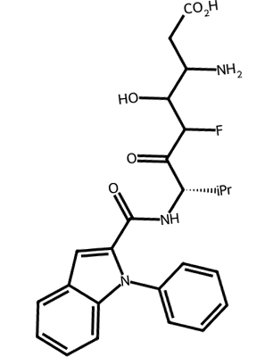 CC(C)[C@H](NC(=O)c1cc2ccccc2n1-c1ccccc1)C(=O)C(F)C(O)C(N)CC(=O)O